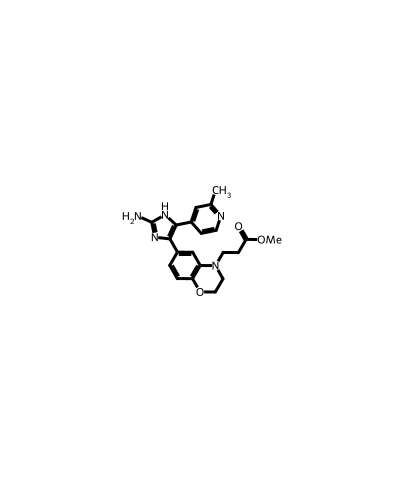 COC(=O)CCN1CCOc2ccc(-c3nc(N)[nH]c3-c3ccnc(C)c3)cc21